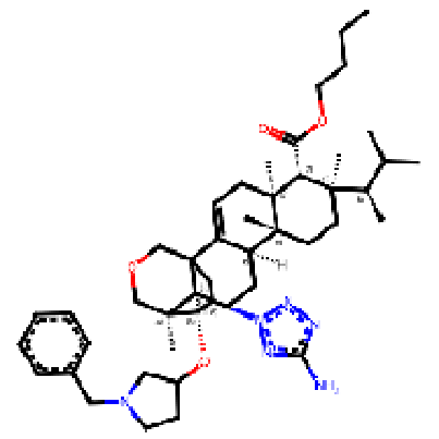 CCCCOC(=O)[C@@H]1[C@@](C)([C@H](C)C(C)C)CC[C@]2(C)[C@H]3CC[C@@H]4C5(COC[C@]4(C)[C@@H](OC4CCN(Cc6ccccc6)C4)[C@H](n4nnc(N)n4)C5)C3=CC[C@@]12C